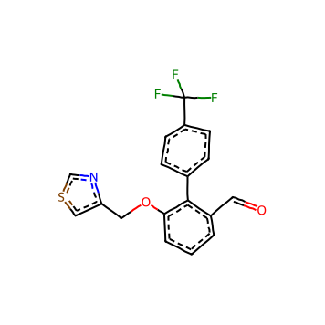 O=Cc1cccc(OCc2cscn2)c1-c1ccc(C(F)(F)F)cc1